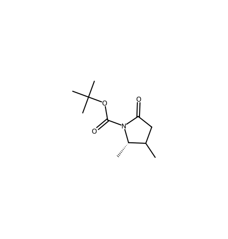 CC1CC(=O)N(C(=O)OC(C)(C)C)[C@H]1C